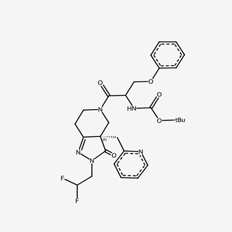 CC(C)(C)OC(=O)NC(COc1ccccc1)C(=O)N1CCC2=NN(CC(F)F)C(=O)[C@]2(Cc2ccccn2)C1